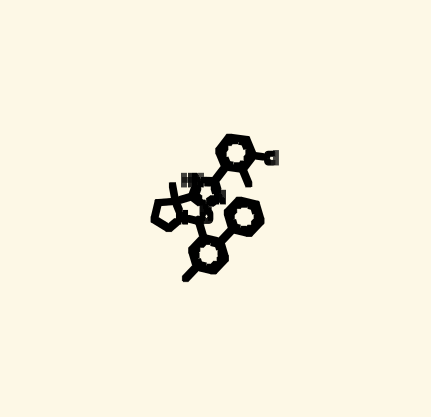 Cc1ccc(-c2ccccc2)c(C(=O)N2CCCC2(C)c2nnc(-c3cccc(Cl)c3C)[nH]2)c1